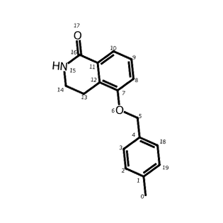 Cc1ccc(COc2cccc3c2CCNC3=O)cc1